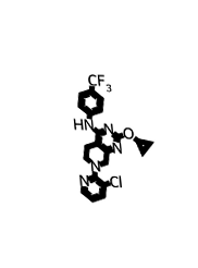 FC(F)(F)c1ccc(Nc2nc(OC3CC3)nc3c2CCN(c2ncccc2Cl)C3)cc1